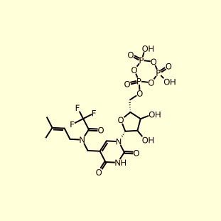 CC(C)=CCN(Cc1cn([C@@H]2O[C@H](COP3(=O)OP(=O)(O)OP(=O)(O)O3)C(O)C2O)c(=O)[nH]c1=O)C(=O)C(F)(F)F